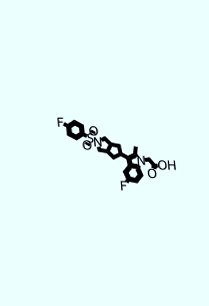 Cc1c(C2CC3CN(S(=O)(=O)c4ccc(F)cc4)CC3C2)c2cc(F)ccc2n1CC(=O)O